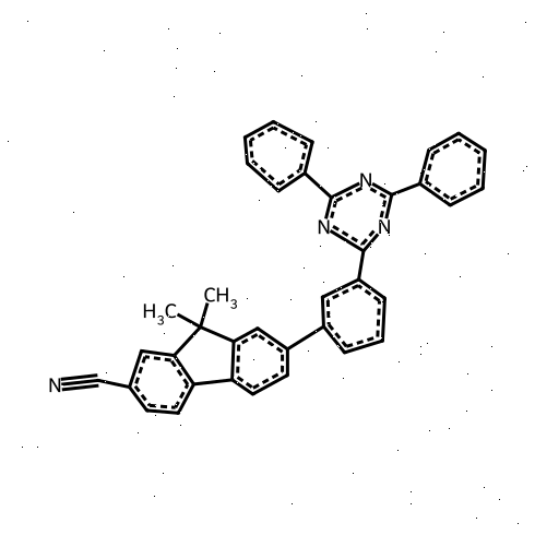 CC1(C)c2cc(C#N)ccc2-c2ccc(-c3cccc(-c4nc(-c5ccccc5)nc(-c5ccccc5)n4)c3)cc21